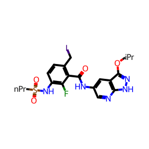 CCCS(=O)(=O)Nc1ccc(CI)c(C(=O)Nc2cnc3[nH]nc(OC(C)C)c3c2)c1F